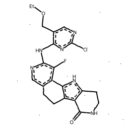 CCOCc1cnc(Cl)nc1Nc1ncc2c(c1F)-c1[nH]c3c(c1CC2)C(=O)NCC3